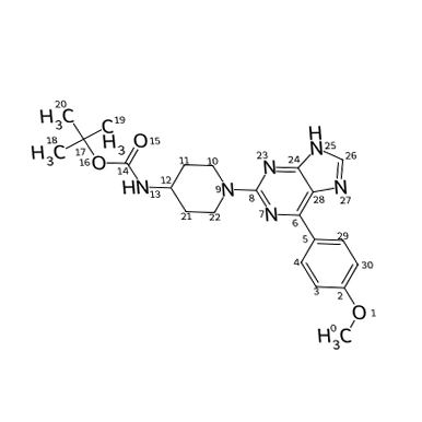 COc1ccc(-c2nc(N3CCC(NC(=O)OC(C)(C)C)CC3)nc3[nH]cnc23)cc1